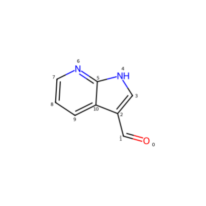 O=[C]c1c[nH]c2ncccc12